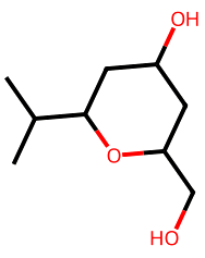 CC(C)C1CC(O)CC(CO)O1